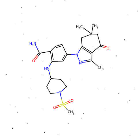 CC1(C)CC(=O)c2c(C(F)(F)F)nn(-c3ccc(C(N)=O)c(NC4CCN(S(C)(=O)=O)CC4)c3)c2C1